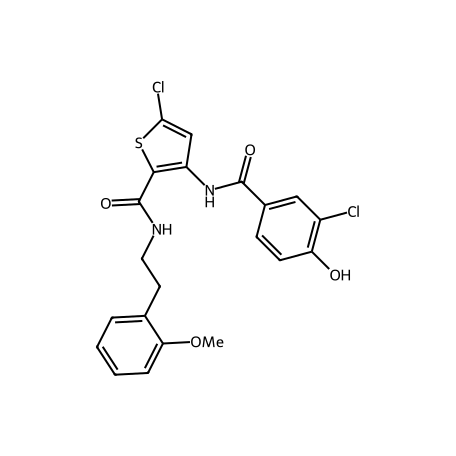 COc1ccccc1CCNC(=O)c1sc(Cl)cc1NC(=O)c1ccc(O)c(Cl)c1